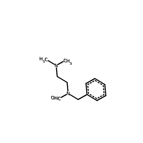 CN(C)CCN(C=O)Cc1ccccc1